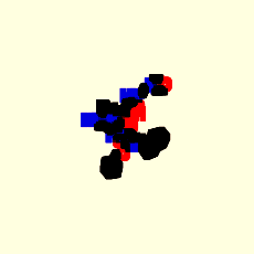 CCC(C)[C@H](NC(=O)[C@H](Cc1c[nH]cn1)NC(=O)[C@H](Cc1cccc2ccccc12)NC(=O)OCc1ccccc1)[C@@H](O)CC(=O)NCCN1CCOCC1